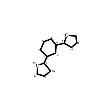 C1COC([C]2CCCC(C3CCCO3)C2)C1